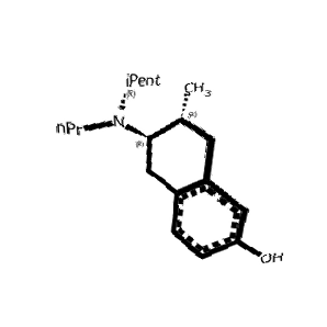 CCC[C@@H](C)N(CCC)[C@@H]1Cc2ccc(O)cc2C[C@H]1C